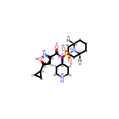 O=C(N[C@H]1C[C@H]2CCC[C@@H](C1)N2S(=O)(=O)CC1CCNCC1)c1cc(C2CC2)on1